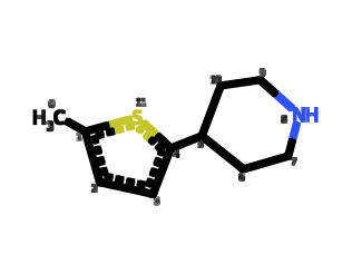 Cc1ccc(C2CCNCC2)s1